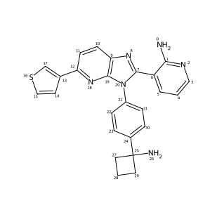 Nc1ncccc1-c1nc2ccc(-c3ccsc3)nc2n1-c1ccc(C2(N)CCC2)cc1